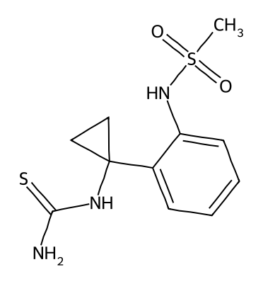 CS(=O)(=O)Nc1ccccc1C1(NC(N)=S)CC1